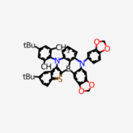 Cc1cc(C(C)(C)C)cc(C)c1N1c2cccc3c2B(c2cc4c(cc2N3c2ccc3c(c2)OCO3)OCO4)c2sc3ccc(C(C)(C)C)cc3c21